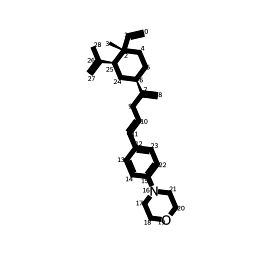 C=C[C@]1(C)CC[C@@H](C(=C)C/C=C/c2ccc(N3CCOCC3)cc2)C[C@H]1C(=C)C